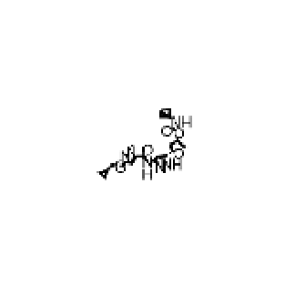 Cn1nc(OCC2CC2)cc1C(=O)Nc1cc([C@H]2C[C@@H](OC(=O)NC34CC(C3)C4)CO2)[nH]n1